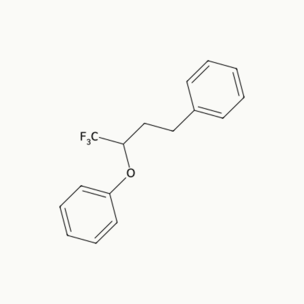 FC(F)(F)C(CCc1ccccc1)Oc1ccccc1